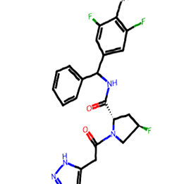 CC(C)c1c(F)cc(C(NC(=O)[C@@H]2C[C@@H](F)CN2C(=O)Cc2cnn[nH]2)c2ccccc2)cc1F